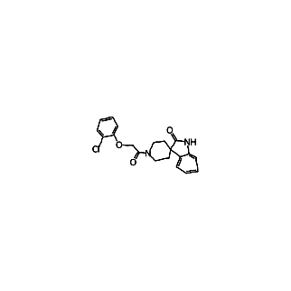 O=C(COc1ccccc1Cl)N1CCC2(CC1)C(=O)Nc1ccccc12